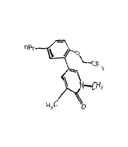 CCCc1ccc(OCC(F)(F)F)c(-c2cc(C)c(=O)n(C)c2)c1